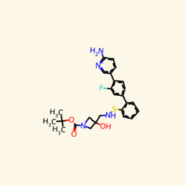 CC(C)(C)OC(=O)N1CC(O)(CNSc2ccccc2-c2ccc(-c3ccc(N)nc3)c(F)c2)C1